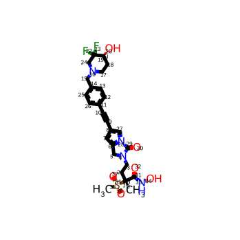 C[C@@](CCN1Cc2cc(C#Cc3ccc(CN4CC[C@H](O)C(F)(F)C4)cc3)cn2C1=O)(C(=O)NO)S(C)(=O)=O